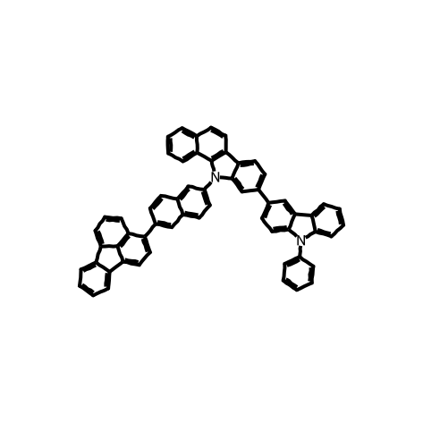 c1ccc(-n2c3ccccc3c3cc(-c4ccc5c6ccc7ccccc7c6n(-c6ccc7cc(-c8ccc9c%10c(cccc8%10)-c8ccccc8-9)ccc7c6)c5c4)ccc32)cc1